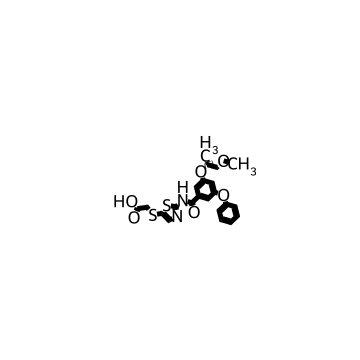 COC[C@H](C)Oc1cc(Oc2ccccc2)cc(C(=O)Nc2ncc(SCC(=O)O)s2)c1